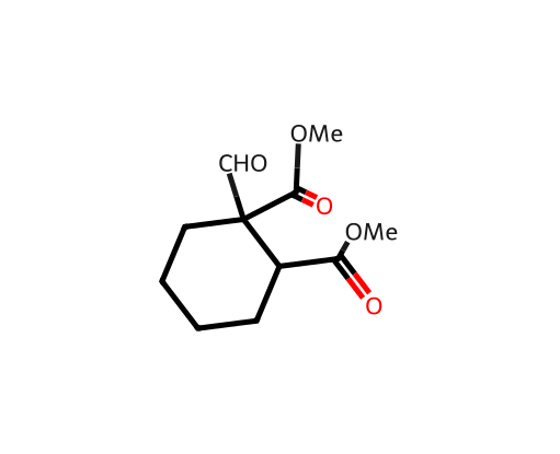 COC(=O)C1CCCCC1(C=O)C(=O)OC